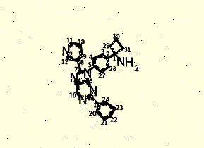 NC1(c2ccc(-n3c(-c4cccnc4)nc4cnc(-c5ccccc5)nc43)cc2)CCC1